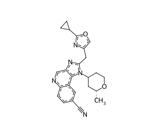 C[C@@H]1CC(n2c(Cc3coc(C4CC4)n3)nc3cnc4ccc(C#N)cc4c32)CCO1